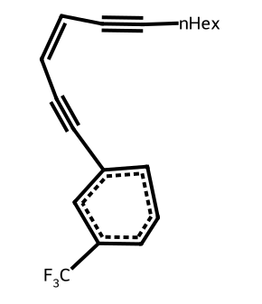 CCCCCCC#C/C=C\C#Cc1cccc(C(F)(F)F)c1